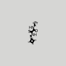 CC(C)CNC(=O)C(=S)NSC1CCC1